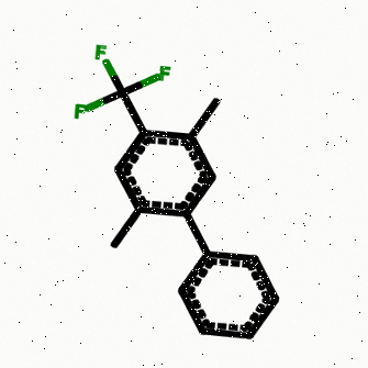 Cc1cc(C(F)(F)F)c(C)cc1-c1ccccc1